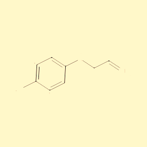 C=CCSc1ccc(F)cc1